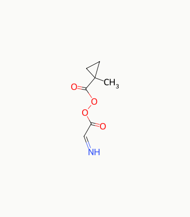 CC1(C(=O)OOC(=O)C=N)CC1